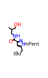 CCCCCn1nc(C(=O)NCC(C)CO)cc1CC(C)(C)C